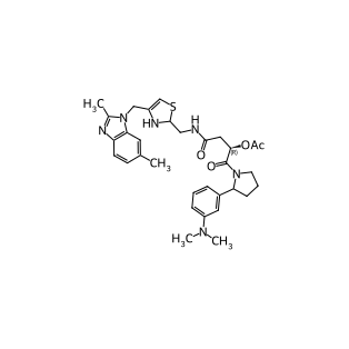 CC(=O)O[C@H](CC(=O)NCC1NC(Cn2c(C)nc3ccc(C)cc32)=CS1)C(=O)N1CCCC1c1cccc(N(C)C)c1